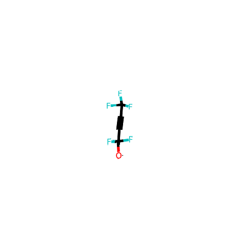 [O]C(F)(F)C#CC(F)(F)F